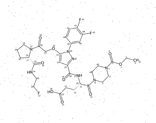 CCOC(=O)N1CCN(C(=O)[C@H](CCC(=O)O)NC(=O)c2cc(OCC(=O)N3CCC[C@H]3C(=O)NCCF)n(-c3ccc(F)c(F)c3)n2)CC1